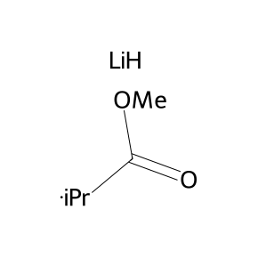 COC(=O)[C](C)C.[LiH]